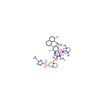 C#Cc1c(F)ccc2cccc(-c3ncc4c(N5C[C@H]6CC[C@@H](C5)N6C(=O)OC(C)(C)C)nc(OC[C@@]56CCCN5C[C@H](S(=O)(=O)n5cnc(C7CC7)n5)C6)nc4c3F)c12